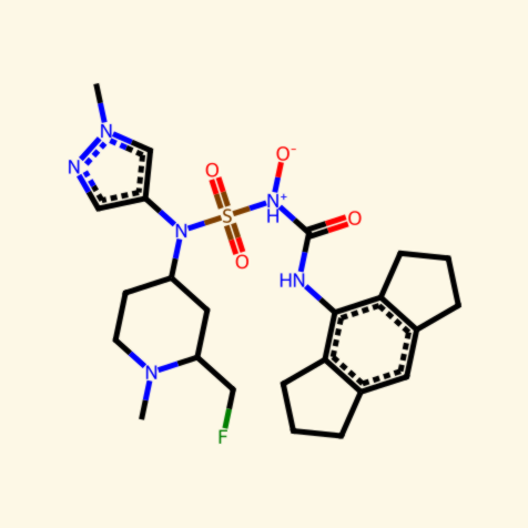 CN1CCC(N(c2cnn(C)c2)S(=O)(=O)[NH+]([O-])C(=O)Nc2c3c(cc4c2CCC4)CCC3)CC1CF